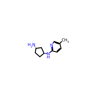 Cc1ccc(N[C@H]2CC[C@H](N)C2)nc1